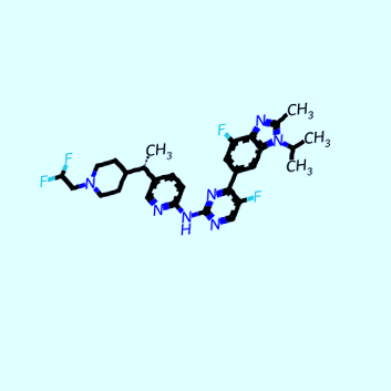 Cc1nc2c(F)cc(-c3nc(Nc4ccc([C@@H](C)C5CCN(CC(F)F)CC5)cn4)ncc3F)cc2n1C(C)C